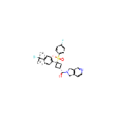 O=C([C@H]1C[C@@](c2ccc(C(F)(C(F)(F)F)C(F)(F)F)cc2)(S(=O)(=O)c2ccc(F)cc2)C1)N1Cc2ccncc2C1